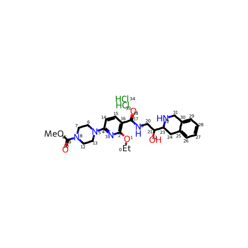 CCOc1nc(N2CCN(C(=O)OC)CC2)ccc1C(=O)NCC(O)C1Cc2ccccc2CN1.Cl.Cl